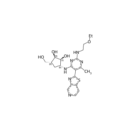 CCOCCNc1nc(C)c(-c2nc3cnccc3s2)c(N[C@@H]2C[C@H](CO)[C@@H](O)[C@H]2O)n1